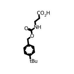 CC(C)(C)c1ccc(COC(=O)NCCC(=O)O)cc1